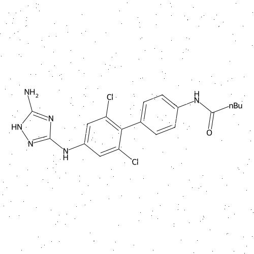 CCCCC(=O)Nc1ccc(-c2c(Cl)cc(Nc3n[nH]c(N)n3)cc2Cl)cc1